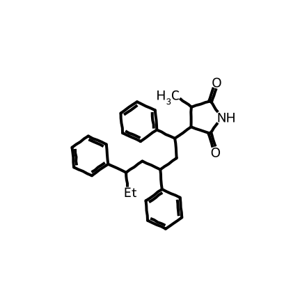 CCC(CC(CC(c1ccccc1)C1C(=O)NC(=O)C1C)c1ccccc1)c1ccccc1